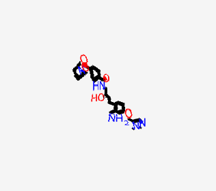 Cn1cncc1COc1ccc(CC[C@H](O)CNC(=O)c2ccc(C(=O)N3C4CCCC3COC4)cc2)c(CN)c1